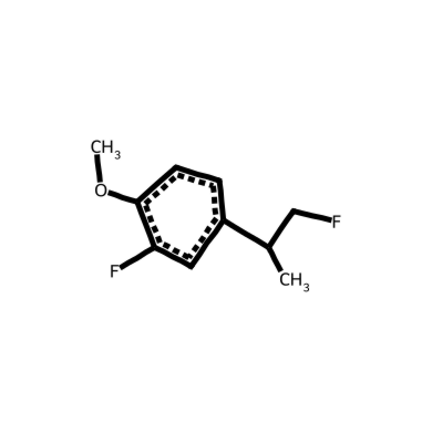 COc1ccc([C](C)CF)cc1F